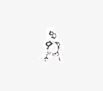 C=CC[C@@H]1C[C@@H]2C[C@H](OC)[C@@H]3CC[C@H]3CN3C[C@@]4(CCCc5cc(Cl)ccc54)COc4ccc(cc43)C(=O)N=S(=O)(NC(=O)c3cn(C)nc3OC)C[C@@H](C)[C@H]2O1